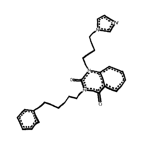 O=c1c2ccccc2n(CCCn2ccnc2)c(=O)n1CCCCc1ccccc1